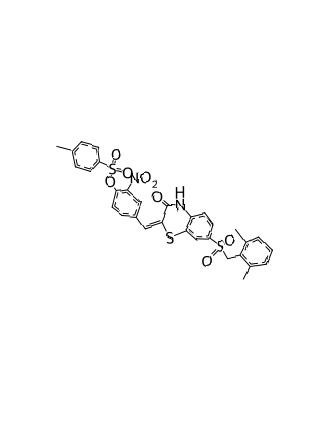 Cc1ccc(S(=O)(=O)Oc2ccc(C=C3Sc4cc(S(=O)(=O)Cc5c(C)cccc5C)ccc4NC3=O)cc2[N+](=O)[O-])cc1